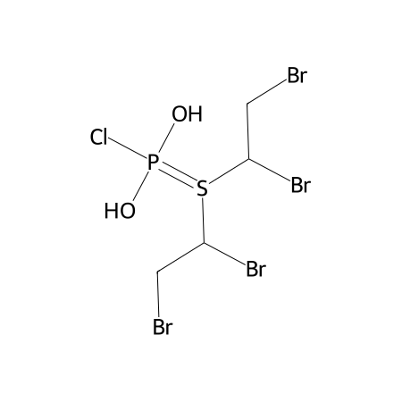 OP(O)(Cl)=S(C(Br)CBr)C(Br)CBr